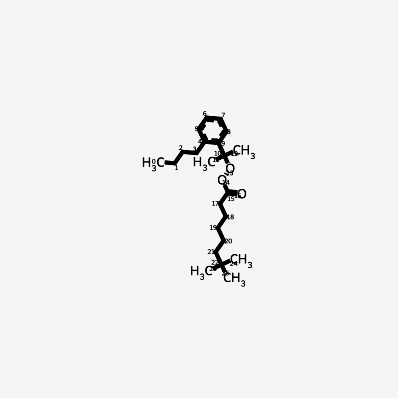 CCCCc1ccccc1C(C)(C)OOC(=O)CCCCCC(C)(C)C